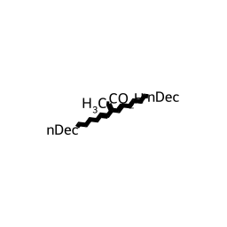 CCCCCCCCCCCCCCC=CC(C=CCCCCCCCCCCCCCC)=C(C)C(=O)O